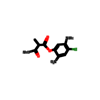 COC(=O)C(C)C(=O)Oc1cc(NC(C)=O)c(Cl)cc1[N+](=O)[O-]